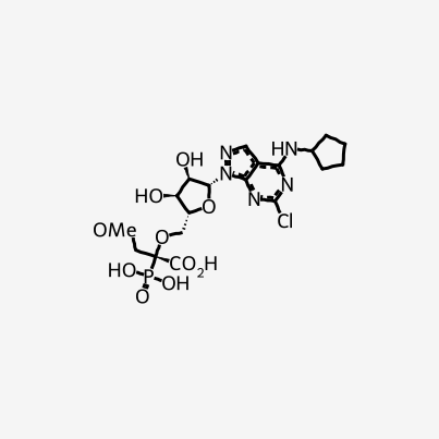 COC[C@@](OC[C@H]1O[C@@H](n2ncc3c(NC4CCCC4)nc(Cl)nc32)[C@H](O)[C@@H]1O)(C(=O)O)P(=O)(O)O